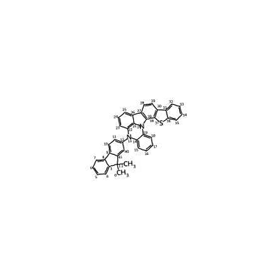 CC1(C)c2ccccc2-c2ccc(N3c4ccccc4-n4c5c3cccc5c3ccc5c6ccccc6sc5c34)cc21